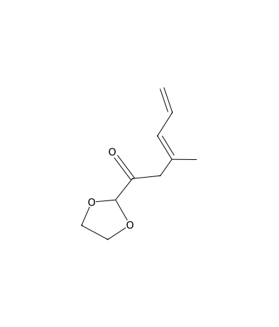 C=CC=C(C)CC(=O)C1OCCO1